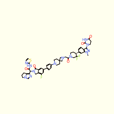 Cn1nc(N2CCC(=O)NC2=O)c2ccc([C@@H]3CCN(C(=O)CN4CC5(CCN(c6ccc(-c7cc(F)c8c(c7)C(=O)N(C(C(=O)Nc7nccs7)c7ncn9c7CCC9)C8)cc6)CC5)C4)CC3(F)F)cc21